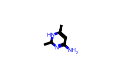 CC1=CC(N)=NC(C)N1